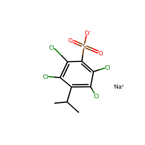 CC(C)c1c(Cl)c(Cl)c(S(=O)(=O)[O-])c(Cl)c1Cl.[Na+]